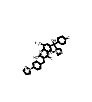 Cc1cc(C(O)(c2ccc(Cl)cc2)c2cncn2C)cc2c(Cl)c(Cc3ccc(-n4cccn4)cc3)c(C#N)nc12